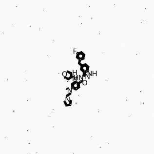 CN(CCN1CCCC1)c1ccc(C(=O)Nc2n[nH]c3ccc(Cc4cccc(F)c4)cc23)c(NC2CCOCC2)c1